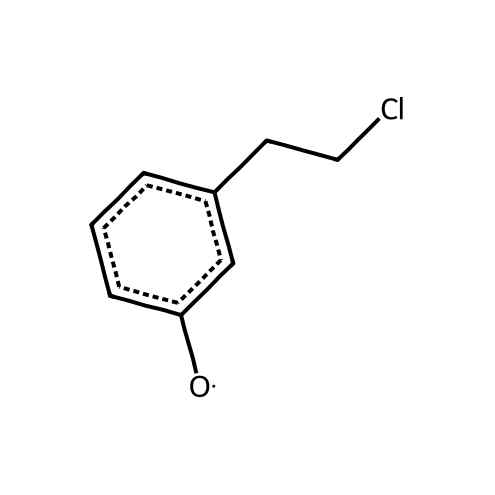 [O]c1cccc(CCCl)c1